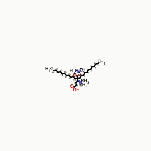 CCCCCCCCCCCCC(CCCCCCCCCCCC)(C(=O)ON(C)C)C(CCC(=O)O)N(C)C